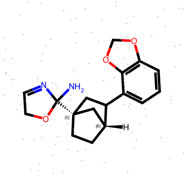 NC1([C@@]23CC[C@H](C2)C(c2cccc4c2OCO4)C3)N=CCO1